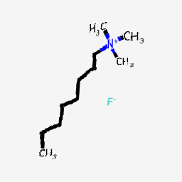 CCCCCCCC[N+](C)(C)C.[F-]